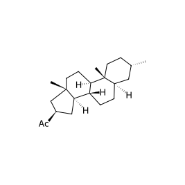 CC(=O)[C@@H]1C[C@@H]2[C@H]3CC[C@@H]4C[C@@H](C)CC[C@@]4(C)[C@@H]3CC[C@@]2(C)C1